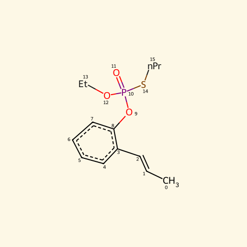 CC=Cc1ccccc1OP(=O)(OCC)SCCC